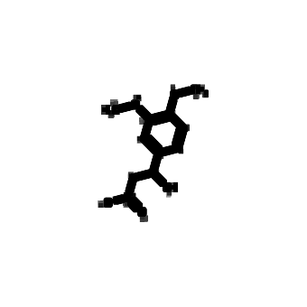 COc1ccc(C(O)C[N+](=O)[O-])cc1OC